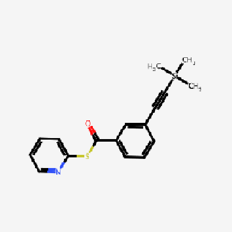 C[Si](C)(C)C#Cc1cccc(C(=O)Sc2ccccn2)c1